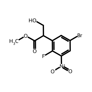 COC(=O)C(CO)c1cc(Br)cc([N+](=O)[O-])c1F